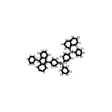 c1ccc(-c2c3ccccc3c(-c3ccc(N(c4ccccc4)c4ccc(N(c5ccccc5)c5cccc6ccccc56)cc4)cc3)c3ccccc23)cc1